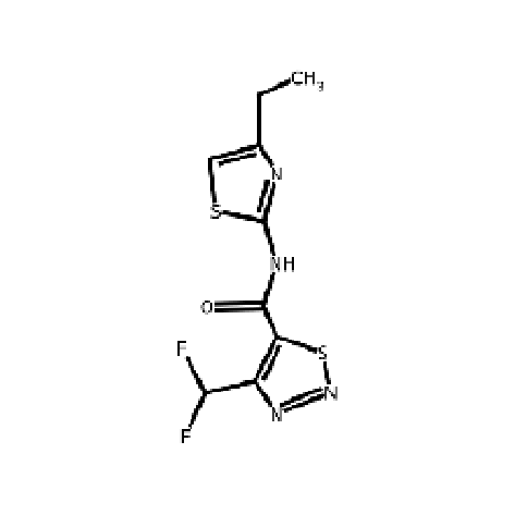 CCc1csc(NC(=O)c2snnc2C(F)F)n1